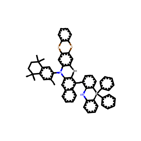 Cc1cc2c(cc1N1c3cc4c(cc3Bc3c1cc1ccccc1c3-c1cccc3c1Nc1ccccc1[Si]3(c1ccccc1)c1ccccc1)Sc1ccccc1S4)C(C)(C)CCC2(C)C